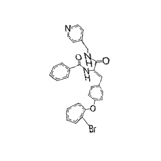 O=C(NCc1ccncc1)/C(=C/c1ccc(Oc2ccccc2Br)cc1)NC(=O)c1ccccc1